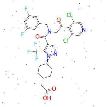 O=C(O)C[C@H]1CC[C@H](n2ncc(C(=O)N(CC(=O)c3c(Cl)cncc3Cl)Cc3cc(F)cc(F)c3)c2C(F)(F)F)CC1